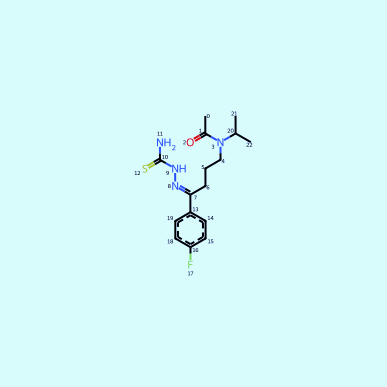 CC(=O)N(CCCC(=NNC(N)=S)c1ccc(F)cc1)C(C)C